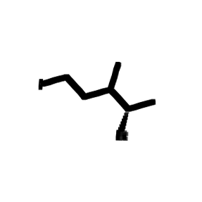 CC[C@@H](C)C(C)CCI